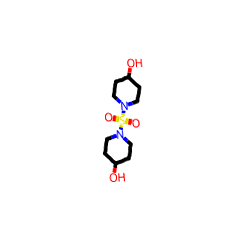 O=S(=O)(N1CCC(O)CC1)N1CCC(O)CC1